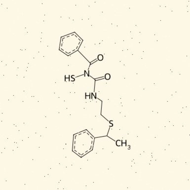 CC(SCCNC(=O)N(S)C(=O)c1ccccc1)c1ccccc1